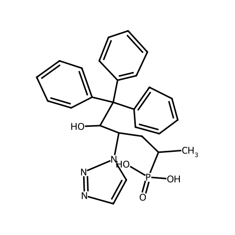 CC(CC(C(O)C(c1ccccc1)(c1ccccc1)c1ccccc1)n1ccnn1)P(=O)(O)O